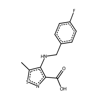 Cc1snc(C(=O)O)c1NCc1ccc(F)cc1